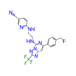 N#Cc1ccc(NCCNc2nc(-c3ccc(CF)cc3)cc3nc(C(F)(F)F)nn23)nc1